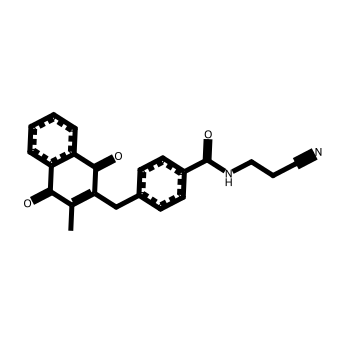 CC1=C(Cc2ccc(C(=O)NCCC#N)cc2)C(=O)c2ccccc2C1=O